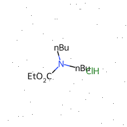 CCCCN(CCCC)C(=O)OCC.Cl